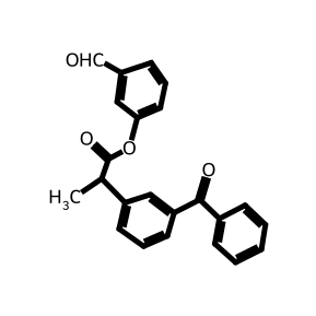 CC(C(=O)Oc1cccc(C=O)c1)c1cccc(C(=O)c2ccccc2)c1